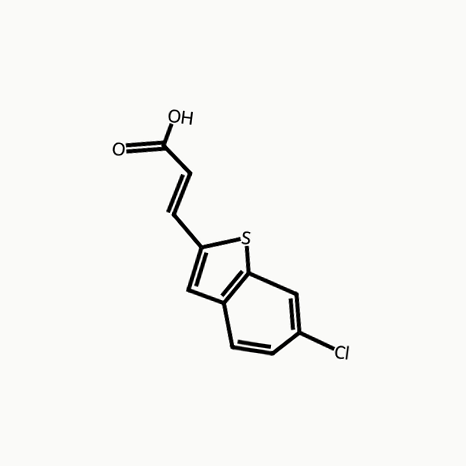 O=C(O)C=Cc1cc2ccc(Cl)cc2s1